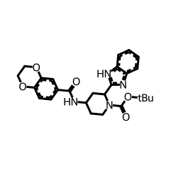 CC(C)(C)OC(=O)N1CCC(NC(=O)c2ccc3c(c2)OCCO3)CC1c1nc2ccccc2[nH]1